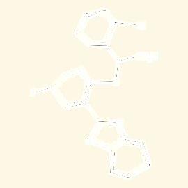 O=C(O)C(Oc1ccc(F)cc1-c1nc2ccccc2o1)c1ccccc1Cl